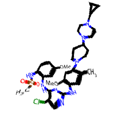 COc1ccc(NS(C)(=O)=O)c(Nc2nc(Nc3cc(C)c(N4CCC(N5CCN(C6CC6)CC5)CC4)cc3OC)ncc2Cl)c1